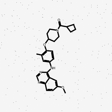 COc1ccc2ncnc(Nc3ccc(OC4CCN(C(=O)C5CCC5)CC4)c(C)c3)c2c1